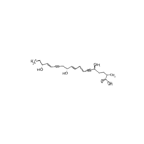 CC[C@@H](O)/C=C/C#CC[C@@H](O)/C=C/C=C/C#C[C@@H](O)CCC(C)C(=O)O